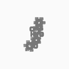 O=C(Nc1ccc2oc3c(c2c1)CCCC3)c1sc2ccccc2c1Cl